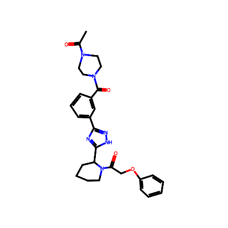 CC(=O)N1CCN(C(=O)c2cccc(-c3n[nH]c(C4CCCCN4C(=O)COc4ccccc4)n3)c2)CC1